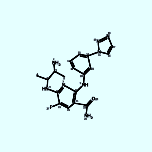 CC(N)C(C)Nc1nc(Nc2cccc(-n3ccnn3)c2)c(C(N)=O)cc1F